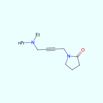 CCCN(CC)CC#CCN1CCCC1=O